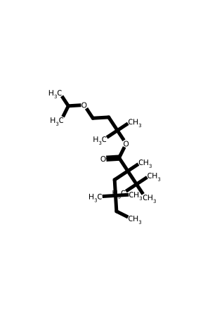 CCC(C)(C)CC(C)(C(=O)OC(C)(C)CCOC(C)C)C(C)(C)C